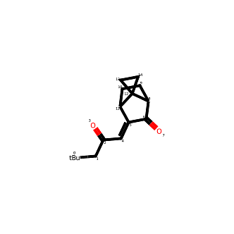 CC(C)(C)CC(=O)C=C1C(=O)C2CCC1C21CC1